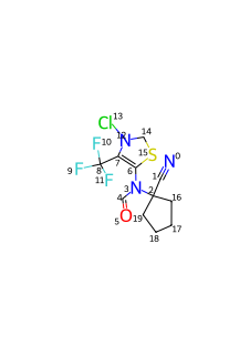 N#CC1(N(C=O)C2=C(C(F)(F)F)N(Cl)CS2)CCCC1